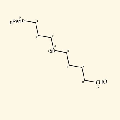 CCCCCCC[CH2][Sn][CH2]CCCC=O